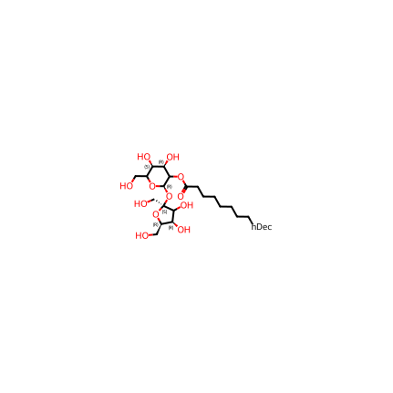 CCCCCCCCCCCCCCCCCC(=O)OC1[C@@H](O[C@]2(CO)O[C@H](CO)[C@H](O)C2O)OC(CO)[C@@H](O)[C@H]1O